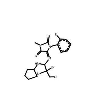 CN1C(=O)C(=NC(NC2CCCC2)C(Br)(Br)CCl)N(c2ccccc2F)C1=O